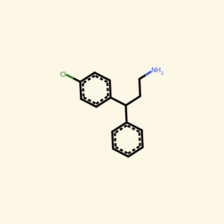 NCCC(c1ccccc1)c1ccc(Cl)cc1